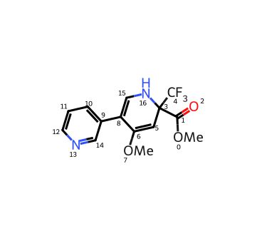 COC(=O)C1(C(F)(F)F)C=C(OC)C(c2cccnc2)=CN1